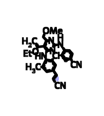 C=C(OCC)c1c(COC)nc(Nc2ccc(C#N)cc2)nc1Nc1c(C)cc(/C=C/C#N)cc1C